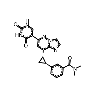 CN(C)C(=O)c1cccc([C@H]2C[C@@H]2c2cc(-c3c[nH]c(=O)[nH]c3=O)nn3ccnc23)c1